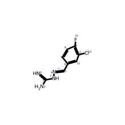 N=C(N)N/N=C/c1ccc(F)c(Cl)c1